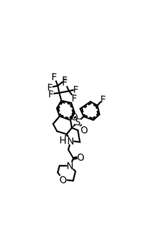 O=C(CN1CC[C@@]2(S(=O)(=O)c3ccc(F)cc3)c3ccc(C(F)(C(F)(F)F)C(F)(F)F)cc3CC[C@@H]12)N1CCOCC1